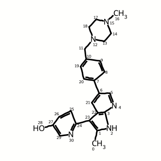 Cc1[nH]c2ncc(-c3ccc(CN4CCN(C)CC4)cc3)cc2c1-c1ccc(O)cn1